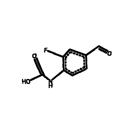 O=Cc1ccc(NC(=O)O)c(F)c1